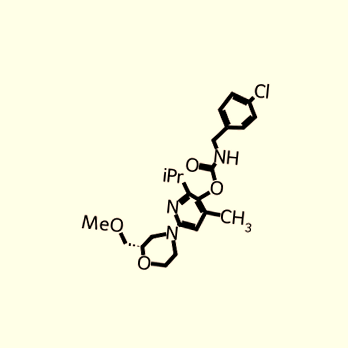 COC[C@@H]1CN(c2cc(C)c(OC(=O)NCc3ccc(Cl)cc3)c(C(C)C)n2)CCO1